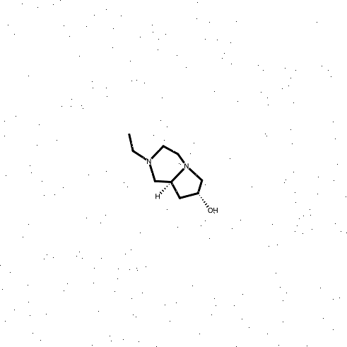 CCN1CCN2C[C@H](O)C[C@H]2C1